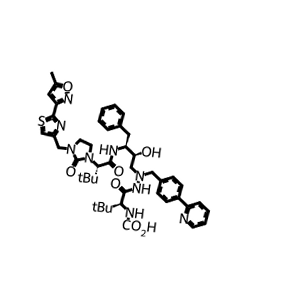 Cc1cc(-c2nc(CN3CCN([C@H](C(=O)N[C@@H](Cc4ccccc4)[C@@H](O)CN(Cc4ccc(-c5ccccn5)cc4)NC(=O)[C@@H](NC(=O)O)C(C)(C)C)C(C)(C)C)C3=O)cs2)no1